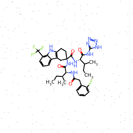 CCC(C)[C@H](NC(=O)Cc1ccccc1F)C(=O)N[C@]1(C(=O)N[C@H](C(=O)Nc2nnn[nH]2)C(C)CC)CCc2[nH]c3c(C(F)(F)F)cccc3c2C1